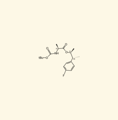 C[C@H](NC(=O)OC(C)(C)C)C(=O)O[C@@H](C)[C@H](C)c1ccc(F)cc1